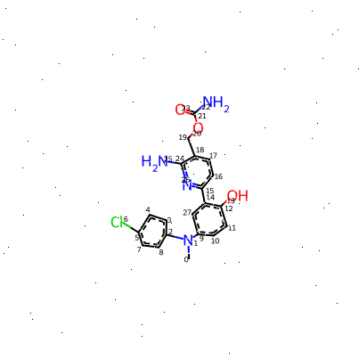 CN(c1ccc(Cl)cc1)c1ccc(O)c(-c2ccc(COC(N)=O)c(N)n2)c1